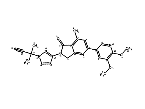 COc1cc(-c2cc(C)c3c(n2)CN(c2ccn(C(C)(C)C#N)n2)C3=O)cnc1OC